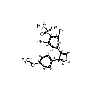 CS(=O)(=O)c1c(F)cc(C2=CCC=C2c2ccc(OC(F)(F)F)cc2)cc1F